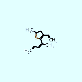 C=C/C=C(/C)C1=C(C=C)CC(C)S1